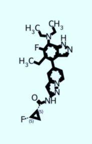 CCc1c(F)c(N(CC)CC)c2[nH]ncc2c1-c1ccn2nc(NC(=O)[C@@H]3C[C@@H]3F)cc2c1